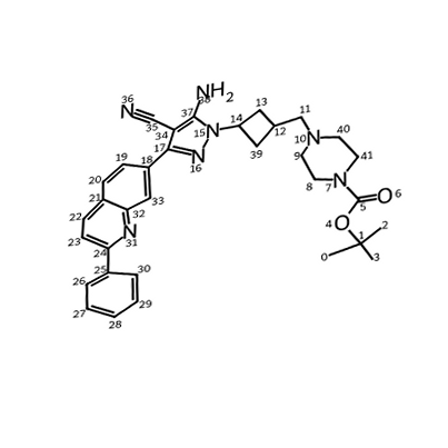 CC(C)(C)OC(=O)N1CCN(CC2CC(n3nc(-c4ccc5ccc(-c6ccccc6)nc5c4)c(C#N)c3N)C2)CC1